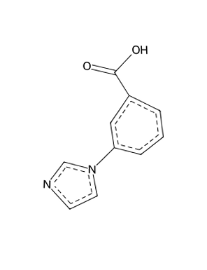 O=C(O)c1cccc(-n2ccnc2)c1